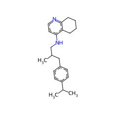 CC(CNc1ccnc2c1CCCC2)Cc1ccc(C(C)C)cc1